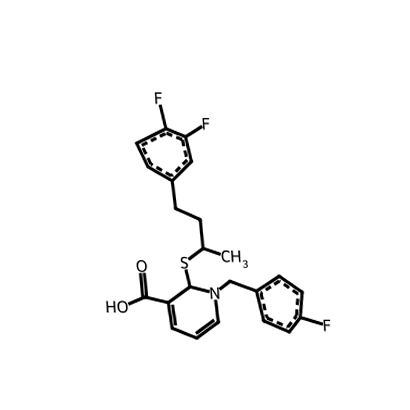 CC(CCc1ccc(F)c(F)c1)SC1C(C(=O)O)=CC=CN1Cc1ccc(F)cc1